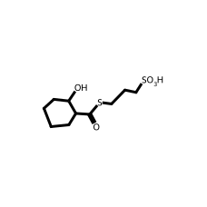 O=C(SCCCS(=O)(=O)O)C1CCCCC1O